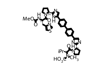 COC(=O)N[C@@H](Cc1cscn1)C(=O)N1CCC[C@H]1c1ncc(-c2ccc(-c3ccc(-c4cnc([C@@H]5CCCN5C(=O)[C@H](C(C)C)N(C)C(=O)O)[nH]4)cc3)cc2)[nH]1